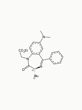 CCOC(=O)CN1C(=O)[C@H]([C@@H](C)CC)N=C(c2ccccc2)c2cc(N(C)C)ccc21